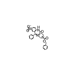 O=C(OCc1ccccc1)N1CCC2(CC1)N=C(c1ccccc1)c1cc([N+](=O)[O-])ccc1NC2=O